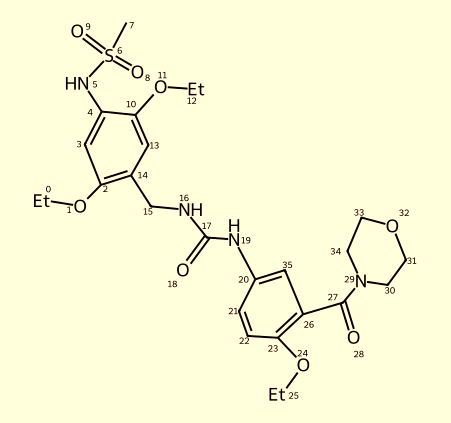 CCOc1cc(NS(C)(=O)=O)c(OCC)cc1CNC(=O)Nc1ccc(OCC)c(C(=O)N2CCOCC2)c1